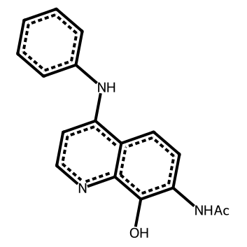 CC(=O)Nc1ccc2c(Nc3ccccc3)ccnc2c1O